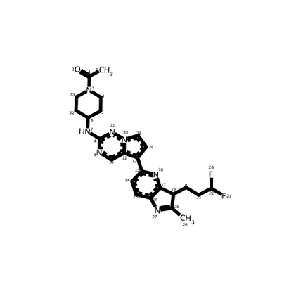 CC(=O)N1CCC(Nc2ncc3c(-c4ccc5c(n4)C(CCC(F)F)C(C)=N5)ccn3n2)CC1